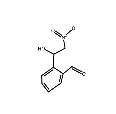 O=Cc1ccccc1C(O)C[N+](=O)[O-]